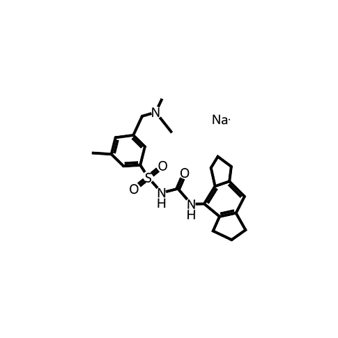 Cc1cc(CN(C)C)cc(S(=O)(=O)NC(=O)Nc2c3c(cc4c2CCC4)CCC3)c1.[Na]